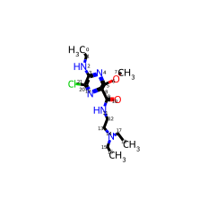 CCNc1nc(OC)c(C(=O)NCCN(CC)CC)nc1Cl